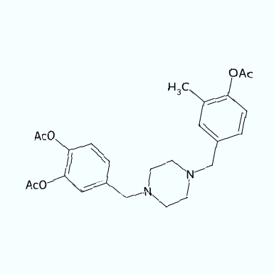 CC(=O)Oc1ccc(CN2CCN(Cc3ccc(OC(C)=O)c(OC(C)=O)c3)CC2)cc1C